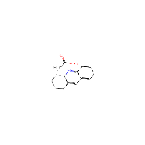 C1=C2C=C3CCCCC3N=C2CCC1.CC(=O)O